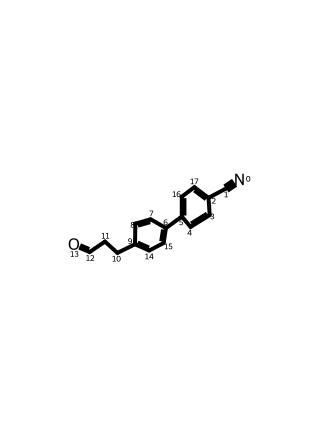 N#Cc1ccc(-c2ccc(CCC=O)cc2)cc1